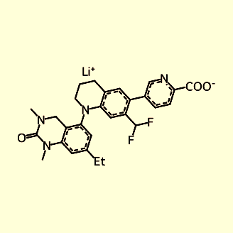 CCc1cc2c(c(N3CCCc4cc(-c5ccc(C(=O)[O-])nc5)c(C(F)F)cc43)c1)CN(C)C(=O)N2C.[Li+]